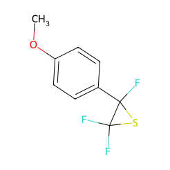 COc1ccc(C2(F)SC2(F)F)cc1